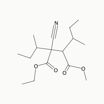 CCOC(=O)C(C#N)(C(C)CC)C(C(=O)OC)C(C)CC